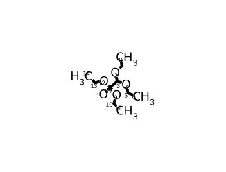 CCOC(OCC)C([O])(OCC)OCC